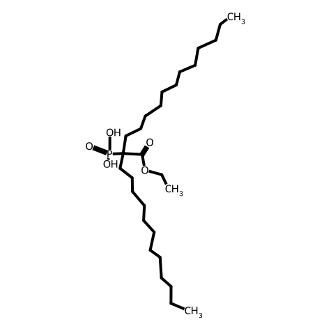 CCCCCCCCCCCCC(CCCCCCCCCCCC)(C(=O)OCC)P(=O)(O)O